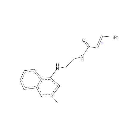 Cc1cc(NCCNC(=O)/C=C/C(C)C)c2ccccc2n1